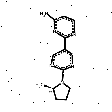 C[C@@H]1CCCN1c1ncc(-c2nccc(N)n2)cn1